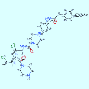 C=C(Cl)/C=C(\C=C(\Cl)CNC(=O)N1CCN(c2ccc(NC(=O)Cc3ccc(OC)cc3)cc2)CC1)C(=O)N1CCN(C)CC1